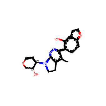 Cc1c(-c2ccc3occc3c2O)nnc2c1CCN2[C@@H]1CCOC[C@H]1O